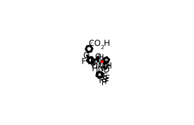 COc1cc(F)c(O[C@H]2CC[C@@H](C(=O)O)CC2)cc1C(=O)N[C@H]1[C@H]2CC[C@H](C2)[C@H]1C(=O)Nc1cccc(S(F)(F)(F)(F)F)c1